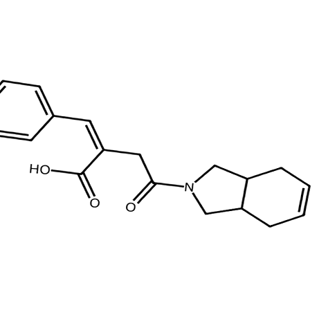 Cc1cccc(C=C(CC(=O)N2CC3CC=CCC3C2)C(=O)O)c1